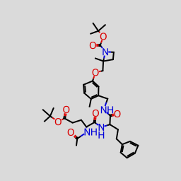 CC(=O)NC(CCC(=O)OC(C)(C)C)C(=O)NC(CCc1ccccc1)C(=O)NCc1cc(OCC2(C)CCN2C(=O)OC(C)(C)C)ccc1C